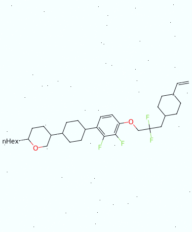 C=CC1CCC(CC(F)(F)COc2ccc(C3CCC(C4CCC(CCCCCC)OC4)CC3)c(F)c2F)CC1